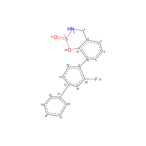 O=S1NCc2cccc(-c3ccc(-c4ccccc4)cc3F)c2O1